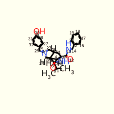 CC(C)C[C@@H]1[C@@H]2[C@@H]3C(=O)N[C@@]1(C(=O)NCc1ccccc1)C[C@@H]3CN2Cc1ccc(O)cc1